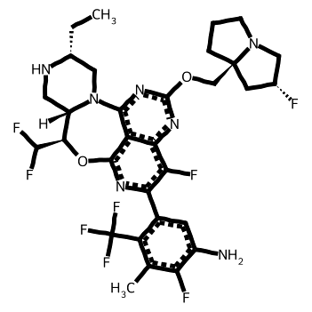 CC[C@@H]1CN2c3nc(OC[C@@]45CCCN4C[C@H](F)C5)nc4c(F)c(-c5cc(N)c(F)c(C)c5C(F)(F)F)nc(c34)O[C@@H](C(F)F)[C@@H]2CN1